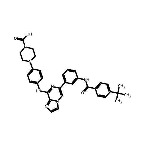 CC(C)(C)c1ccc(C(=O)Nc2cccc(-c3cn4ccnc4c(Nc4ccc(N5CCN(C(=O)O)CC5)cc4)n3)c2)cc1